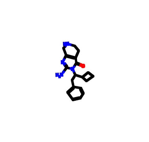 Nc1nc2c(c(=O)n1C(Cc1ccccc1)C1CCC1)CCNC2